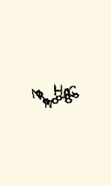 Cc1ccccc1-c1c2ccccc2c(-c2ccc3c(c2)CCC(c2cc(-c4cccnc4)ccn2)=C3)c2ccccc12